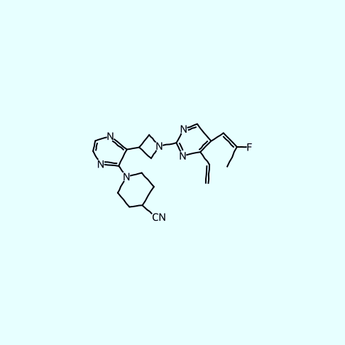 C=Cc1nc(N2CC(c3nccnc3N3CCC(C#N)CC3)C2)ncc1/C=C(\C)F